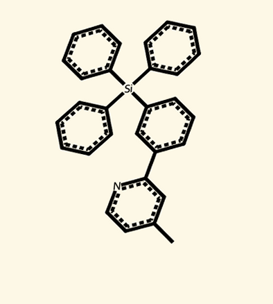 Cc1ccnc(-c2cccc([Si](c3ccccc3)(c3ccccc3)c3ccccc3)c2)c1